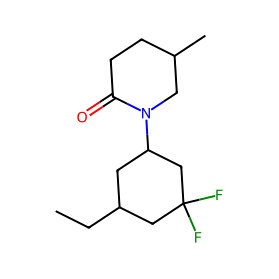 CCC1CC(N2CC(C)CCC2=O)CC(F)(F)C1